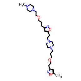 Cc1cc(CCOCCCN2CCN(CCc3cc(CCCOCCN4CCN(C)CC4)no3)CC2)no1